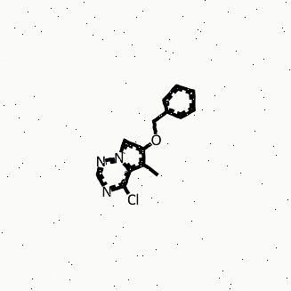 Cc1c(OCc2ccccc2)cn2ncnc(Cl)c12